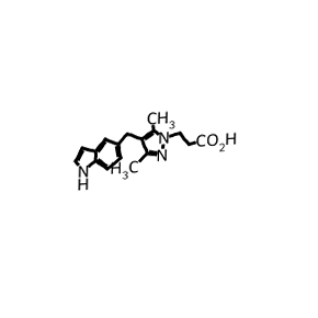 Cc1nn(CCC(=O)O)c(C)c1Cc1ccc2[nH]ccc2c1